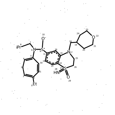 CCC1=CCC=C(N(CC(C)C)[S+]([O-])c2ccc3c(c2)N(CC2CCOCC2)CCS3(=N)=O)C=C1